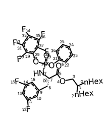 CCCCCCC(CCCCCC)COC(=O)[C@H](Cc1cc(F)cc(F)c1)NP(=O)(Oc1ccccc1)Oc1c(F)c(F)c(F)c(F)c1F